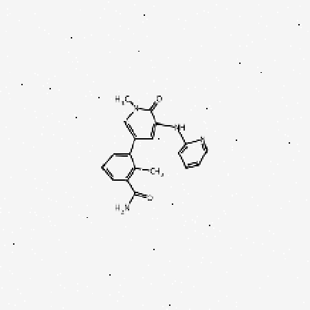 Cc1c(C(N)=O)cccc1-c1cc(Nc2ccccn2)c(=O)n(C)c1